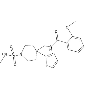 CNS(=O)(=O)N1CCC(CNC(=O)c2ccccc2OC)(c2cccs2)CC1